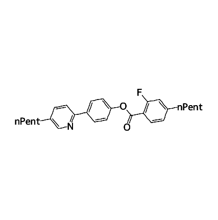 CCCCCc1ccc(-c2ccc(OC(=O)c3ccc(CCCCC)cc3F)cc2)nc1